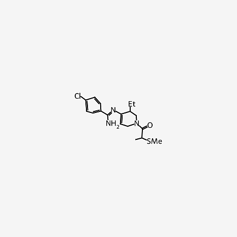 CCC1CN(C(=O)C(C)SC)CC=C1/N=C(\N)c1ccc(Cl)cc1